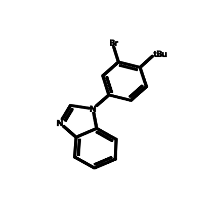 CC(C)(C)c1ccc(-n2cnc3ccccc32)cc1Br